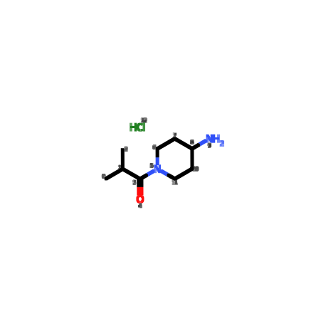 CC(C)C(=O)N1CCC(N)CC1.Cl